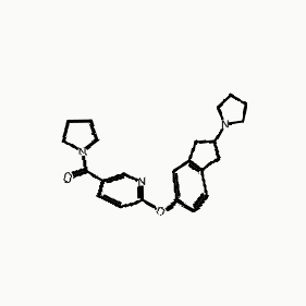 O=C(c1ccc(Oc2ccc3c(c2)CC(N2CCCC2)C3)nc1)N1CCCC1